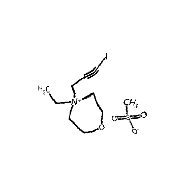 CC[N+]1(CC#CI)CCOCC1.CS(=O)(=O)[O-]